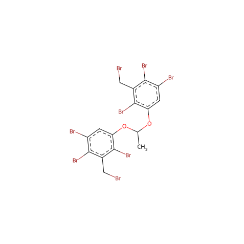 CC(Oc1cc(Br)c(Br)c(CBr)c1Br)Oc1cc(Br)c(Br)c(CBr)c1Br